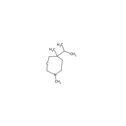 CC(C)C1(C)CCCN(C)CC1